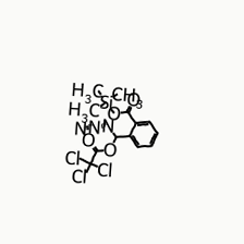 C[Si](C)(C)OC(=O)c1ccccc1C(N=[N+]=[N-])OC(=O)C(Cl)(Cl)Cl